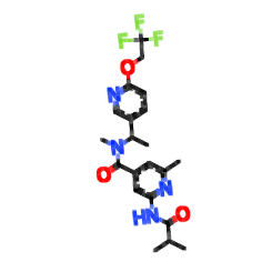 Cc1cc(C(=O)N(C)C(C)c2ccc(OCC(F)(F)F)nc2)cc(NC(=O)C(C)C)n1